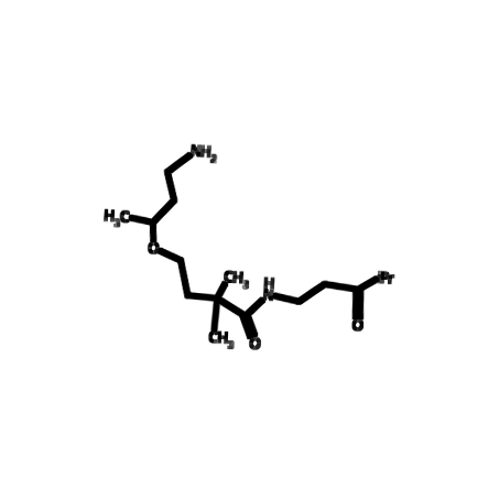 CC(CCN)OCCC(C)(C)C(=O)NCCC(=O)C(C)C